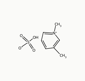 Cc1ccc[n+](C)c1.O=S(=O)([O-])O